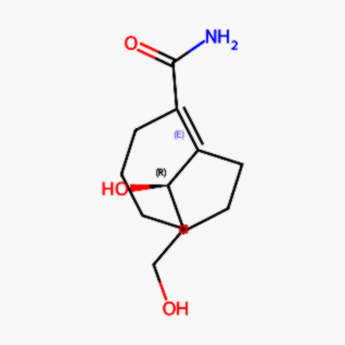 NC(=O)/C1=C(/[C@H](O)[CH]CO)CCCCCC1